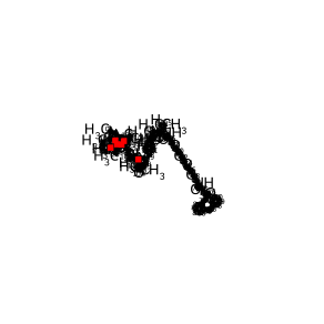 CCCCCCN(C(=O)[C@@H](NC(=O)[C@H]1CCCCN1C)[C@@H](C)CC)[C@H](C[C@@H](OC(=O)NC)c1nc(C(=O)N[C@@H](Cc2ccc(NC(=O)[C@H](C)NC(=O)[C@@H](NC(=O)CCOCCOCCOCCOCCNC(=O)CCC(=O)N3Cc4ccccc4C#Cc4ccccc43)C(C)C)c(F)c2)CC(C)(C)C(=O)O)cs1)C(C)C